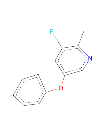 Cc1ncc(Oc2cc[c]cc2)cc1F